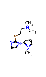 CN(C)CCSc1nccn1-c1cccn1C